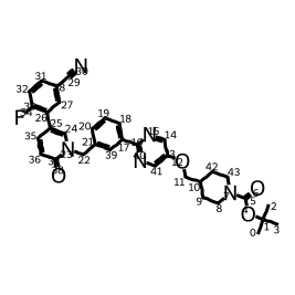 CC(C)(C)OC(=O)N1CCC(COc2cnc(-c3cccc(Cn4cc(-c5cc(C#N)ccc5F)ccc4=O)c3)nc2)CC1